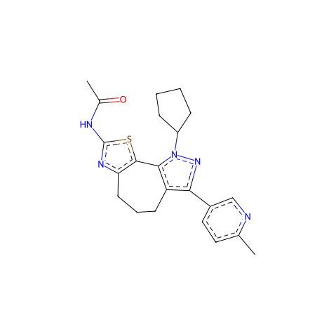 CC(=O)Nc1nc2c(s1)-c1c(c(-c3ccc(C)nc3)nn1C1CCCC1)CCC2